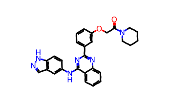 O=C(COc1cccc(-c2nc(Nc3ccc4[nH]ncc4c3)c3ccccc3n2)c1)N1CCCCC1